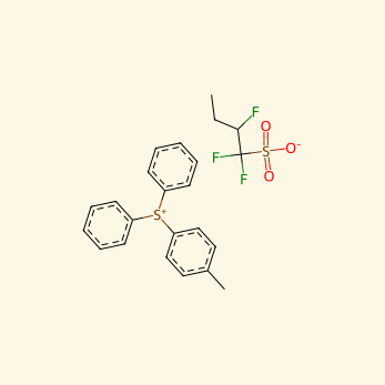 CCC(F)C(F)(F)S(=O)(=O)[O-].Cc1ccc([S+](c2ccccc2)c2ccccc2)cc1